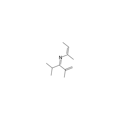 C=C(C)/C(=N\C(C)=C/C)C(C)C